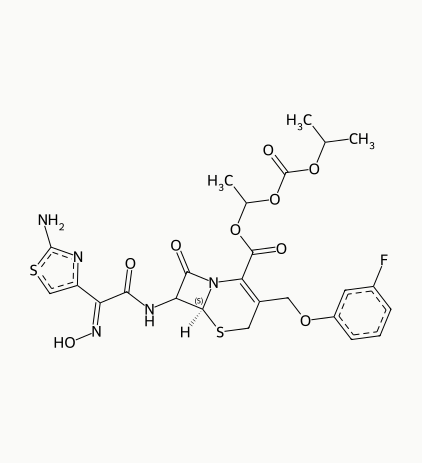 CC(C)OC(=O)OC(C)OC(=O)C1=C(COc2cccc(F)c2)CS[C@H]2C(NC(=O)C(=NO)c3csc(N)n3)C(=O)N12